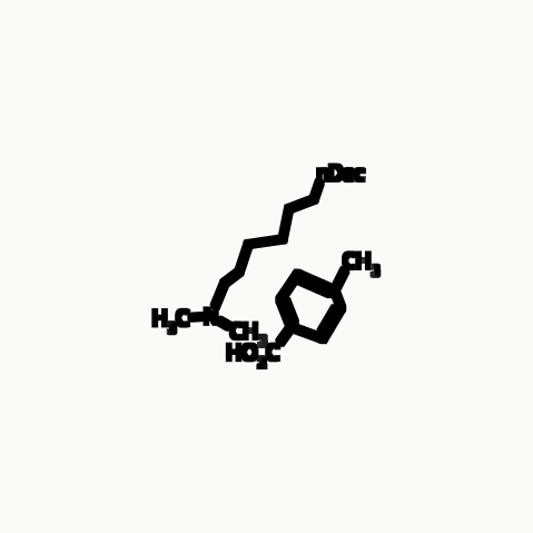 CCCCCCCCCCCCCCCCN(C)C.Cc1ccc(C(=O)O)cc1